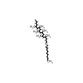 CCCCCCCCCOCOCCCC(C)CC(C)CC(C)CC(C)CC(C)CC(C)CCCI